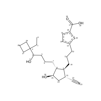 CCC1(C(O)CCC[C@@H]2[C@@H](CCCc3ccc(C(=O)O)s3)[C@H](C#N)C[C@H]2O)CCC1